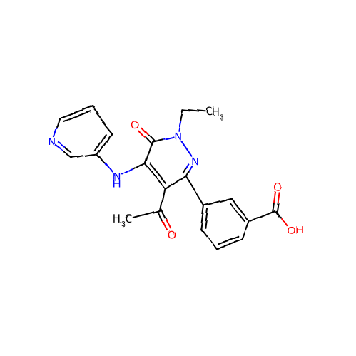 CCn1nc(-c2cccc(C(=O)O)c2)c(C(C)=O)c(Nc2cccnc2)c1=O